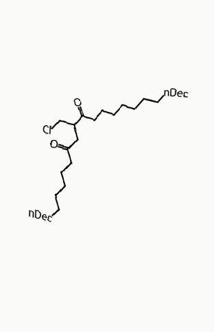 CCCCCCCCCCCCCCCCCC(=O)C(CCl)CC(=O)CCCCCCCCCCCCCCC